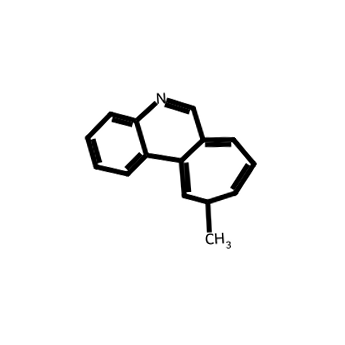 CC1C=CC=c2cnc3ccccc3c2=C1